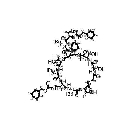 CC[C@H](C)[C@@H]1NC(=O)[C@@H](CCNC(=O)OCc2ccccc2)NC(=O)[C@H](CC(C)C)NC(=O)[C@H]([C@H](O)C(C)C)NC(=O)[C@@H](NC(=O)[C@H](CC(C)(C)C)NC(=O)[C@@H](CC(C)(C)C)NC(=O)OCc2ccccc2)[C@@H](c2ccccc2)NC(=O)C(CO)NC(=O)[C@H](CO)NC(=O)CNC(=O)[C@H]([C@H](C)O)NC1=O